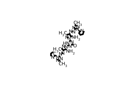 Cc1nc(N=Nc2c(C)nn(-c3nc(=O)nc(-n4nc(C)c(N=Nc5nc(C)nn5-c5ccccn5)c4N)[nH]3)c2N)n(-c2ccccn2)n1